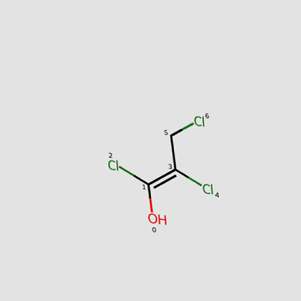 OC(Cl)=C(Cl)CCl